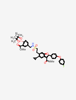 CNC(=O)c1c(-c2ccc(Oc3ccc(F)cc3)cc2)oc2cc(CCS(=O)(=O)NCc3ccc(B4OC(C)(C)C(C)(C)O4)c(C(=O)OC)c3)c(C3CC3)cc12